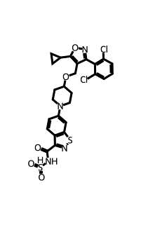 O=C(N[SH](=O)=O)c1nsc2cc(N3CCC(OCc4c(-c5c(Cl)cccc5Cl)noc4C4CC4)CC3)ccc12